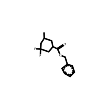 CC1CC(C(=O)OCc2ccccc2)CC(F)(F)C1